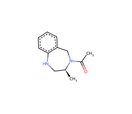 CC(=O)N1Cc2ccccc2NC[C@@H]1C